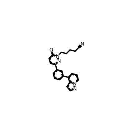 N#CCCCCn1nc(-c2cccc(-c3cccn4nccc34)c2)ccc1=O